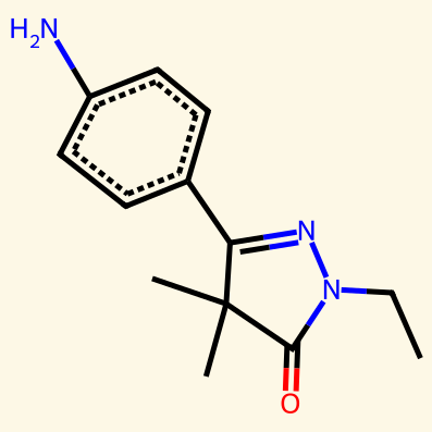 CCN1N=C(c2ccc(N)cc2)C(C)(C)C1=O